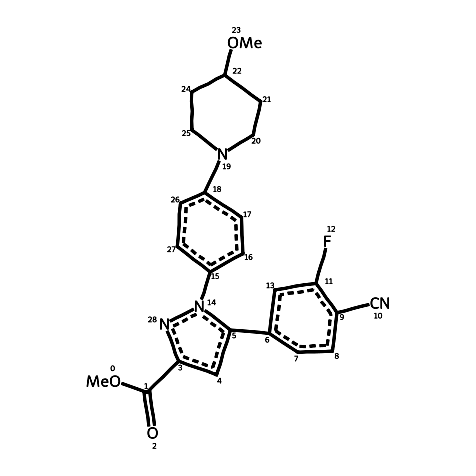 COC(=O)c1cc(-c2ccc(C#N)c(F)c2)n(-c2ccc(N3CCC(OC)CC3)cc2)n1